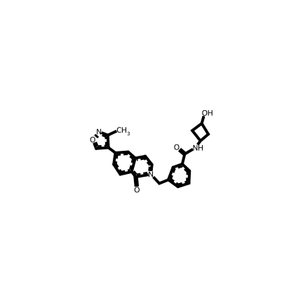 Cc1nocc1-c1ccc2c(=O)n(Cc3cccc(C(=O)NC4CC(O)C4)c3)ccc2c1